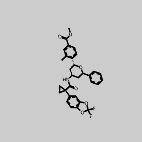 COC(=O)c1ccc([C@H]2CC(NC(=O)C3(c4ccc5c(c4)OC(F)(F)O5)CC3)CC(c3ccccc3)O2)c(C)c1